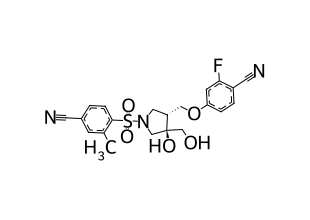 Cc1cc(C#N)ccc1S(=O)(=O)N1C[C@H](COc2ccc(C#N)c(F)c2)[C@](O)(CO)C1